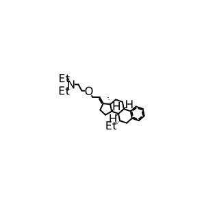 CC[C@H]1Cc2ccccc2[C@H]2CC[C@]3(C)C(=CCOCCN(CC)CC)CC[C@H]3[C@H]12